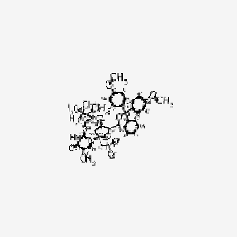 COc1ccc(C(OC[C@H]2O[C@@](C[N+](=O)[O-])(n3cc(C)c(=O)[nH]c3=O)CC2O[Si](C)(C)C(C)(C)C)(c2ccccc2)c2ccc(OC)cc2)cc1